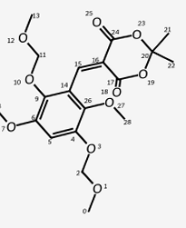 COCOc1cc(OC)c(OCOC)c(C=C2C(=O)OC(C)(C)OC2=O)c1OC